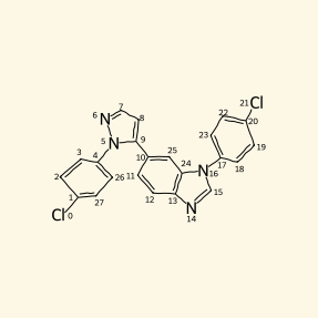 Clc1ccc(-n2nccc2-c2ccc3ncn(-c4ccc(Cl)cc4)c3c2)cc1